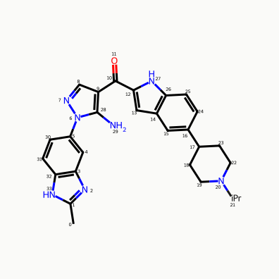 Cc1nc2cc(-n3ncc(C(=O)c4cc5cc(C6CCN(C(C)C)CC6)ccc5[nH]4)c3N)ccc2[nH]1